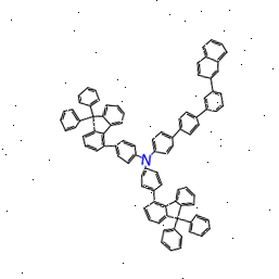 c1ccc(C2(c3ccccc3)c3ccccc3-c3c(-c4ccc(N(c5ccc(-c6ccc(-c7cccc(-c8ccc9ccccc9c8)c7)cc6)cc5)c5ccc(-c6cccc7c6-c6ccccc6C7(c6ccccc6)c6ccccc6)cc5)cc4)cccc32)cc1